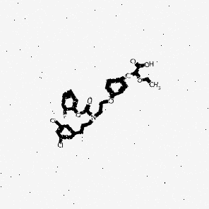 CCOC(Cc1ccc(OCCN(CCCc2cc(Cl)cc(Cl)c2)C(=O)Oc2ccccc2F)cc1)C(=O)O